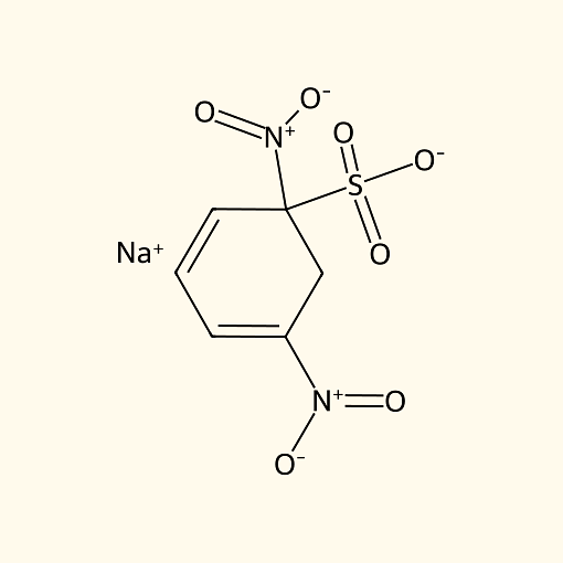 O=[N+]([O-])C1=CC=CC([N+](=O)[O-])(S(=O)(=O)[O-])C1.[Na+]